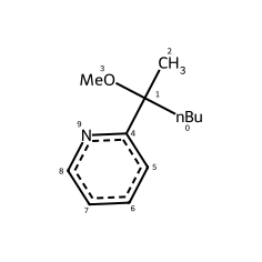 CCCCC(C)(OC)c1ccccn1